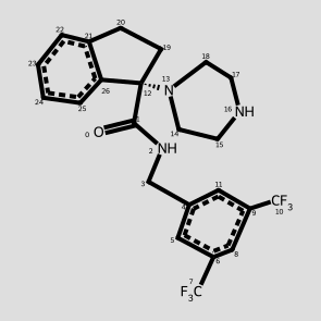 O=C(NCc1cc(C(F)(F)F)cc(C(F)(F)F)c1)[C@]1(N2CCNCC2)CCc2ccccc21